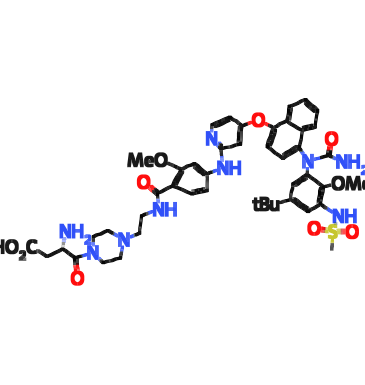 COc1cc(Nc2cc(Oc3ccc(N(C(N)=O)c4cc(C(C)(C)C)cc(NS(C)(=O)=O)c4OC)c4ccccc34)ccn2)ccc1C(=O)NCCN1CCN(C(=O)[C@@H](N)CC(=O)O)CC1